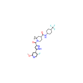 COc1cc(-c2cc(C(=O)N3CCC(C(=O)NC4CCC(C(F)(F)F)CC4)CC34CC4)n[nH]2)c(F)cn1